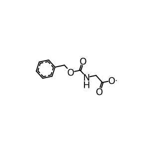 [O]C(=O)CNC(=O)OCc1ccccc1